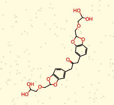 O=C(Cc1ccc2c(c1)OC(COCC(O)O)O2)Cc1ccc2c(c1)OC(COCC(O)O)O2